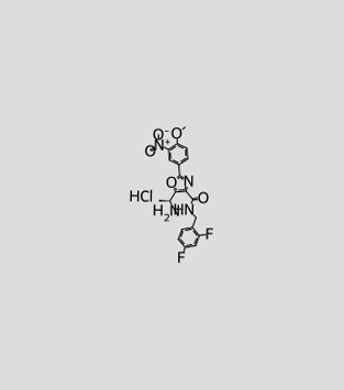 COc1ccc(-c2nc(C(=O)NCc3ccc(F)cc3F)c([C@H](C)N)o2)cc1[N+](=O)[O-].Cl